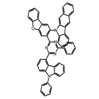 c1ccc(-c2nc(-c3cc4oc5ccccc5c4cc3-n3c4ccccc4c4cc5ccccc5cc43)nc(-c3cccc4c3c3ccccc3n4-c3ccccc3)n2)cc1